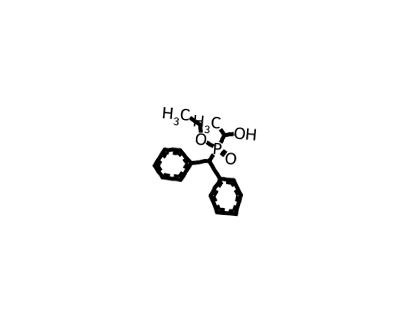 CCOP(=O)(C(C)O)C(c1ccccc1)c1ccccc1